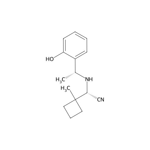 C[C@@H](N[C@H](C#N)C1(C)CCC1)c1ccccc1O